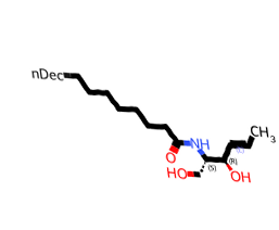 C/C=C/[C@@H](O)[C@H](CO)NC(=O)CCCCCCCCCCCCCCCCC